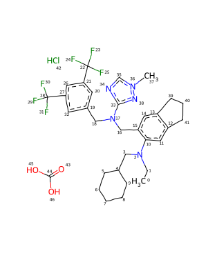 CCN(CC1CCCCC1)c1cc2c(cc1CN(Cc1cc(C(F)(F)F)cc(C(F)(F)F)c1)c1ncn(C)n1)CCC2.Cl.O=C(O)O